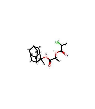 CC(Cl)C(=O)OC(C)C(=O)OC1(C)C2CC3CC(C2)CC1C3